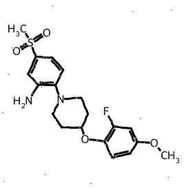 COc1ccc(OC2CCN(c3ccc(S(C)(=O)=O)cc3N)CC2)c(F)c1